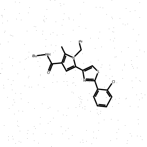 CCC(C)NC(=O)c1cc(-c2csc(-c3ccccc3Cl)n2)n(CC(C)C)c1C